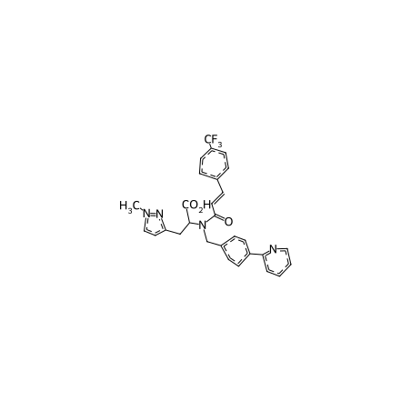 Cn1ccc(CC(C(=O)O)N(Cc2ccc(-c3ccccn3)cc2)C(=O)/C=C/c2ccc(C(F)(F)F)cc2)n1